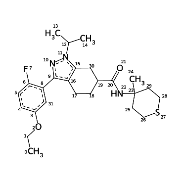 CCOc1ccc(F)c(-c2nn(C(C)C)c3c2CCC(C(=O)NC2(C)CCSCC2)C3)c1